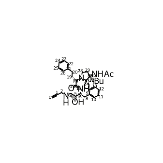 C#CCNC[C@@H](O)[C@H](Cc1ccccc1)NC(=O)[C@H](CCc1ccccc1)N1CC[C@](NC(C)=O)([C@@H](C)CC)C1=O